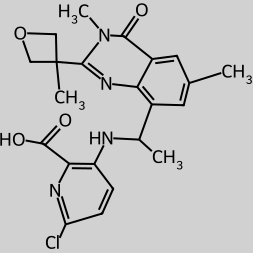 Cc1cc(C(C)Nc2ccc(Cl)nc2C(=O)O)c2nc(C3(C)COC3)n(C)c(=O)c2c1